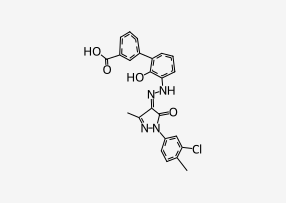 CC1=NN(c2ccc(C)c(Cl)c2)C(=O)C1=NNc1cccc(-c2cccc(C(=O)O)c2)c1O